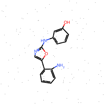 Nc1ccccc1-c1cnc(Nc2cccc(O)c2)o1